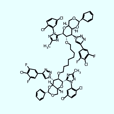 Cc1nc([C@H]2O[C@H]3CO[C@@H](c4ccccc4)O[C@H]3[C@@H](n3cc(-c4cc(F)c(Cl)c(F)c4)nn3)[C@@H]2OCCCCCCCCO[C@@H]2[C@@H](n3cc(-c4cc(F)c(Cl)c(F)c4)nn3)[C@H]3O[C@@H](c4ccccc4)OC[C@H]3O[C@H]2c2nc(C)nn2-c2cc(Cl)ccc2Cl)n(-c2cc(Cl)ccc2Cl)n1